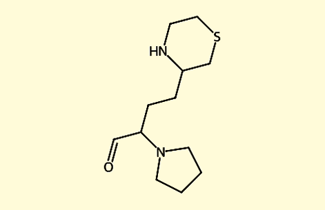 O=CC(CCC1CSCCN1)N1CCCC1